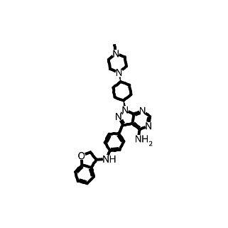 CN1CCN([C@H]2CC[C@H](n3nc(-c4ccc(NC5COc6ccccc65)cc4)c4c(N)ncnc43)CC2)CC1